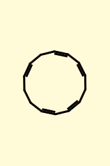 C1=CCC=CC=CCCC=CCC=C1